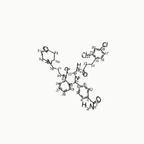 NC(=O)c1ccc(C2=NC(NC(=O)CCc3ccc(Cl)cc3Cl)C(=O)N(CCCN3CCOCC3)c3ccccc32)cc1